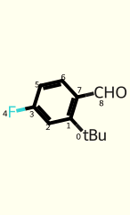 CC(C)(C)c1cc(F)ccc1C=O